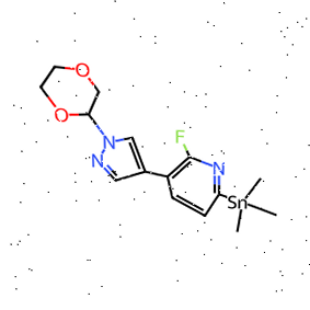 [CH3][Sn]([CH3])([CH3])[c]1ccc(-c2cnn(C3COCCO3)c2)c(F)n1